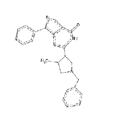 CC1CN(Cc2ccccc2)CC1c1nn2c(-c3ccncc3)ncc2c(=O)[nH]1